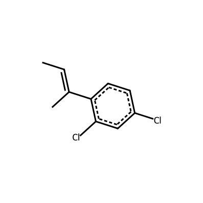 C/C=C(\C)c1ccc(Cl)cc1Cl